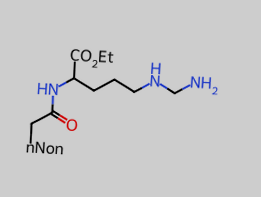 CCCCCCCCCCC(=O)NC(CCCNCN)C(=O)OCC